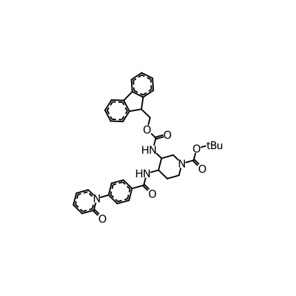 CC(C)(C)OC(=O)N1CCC(NC(=O)c2ccc(-n3ccccc3=O)cc2)C(NC(=O)OCC2c3ccccc3-c3ccccc32)C1